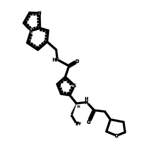 CC(C)C[C@@H](NC(=O)CC1CCOC1)c1ccc(C(=O)NCc2ccn3ccnc3c2)s1